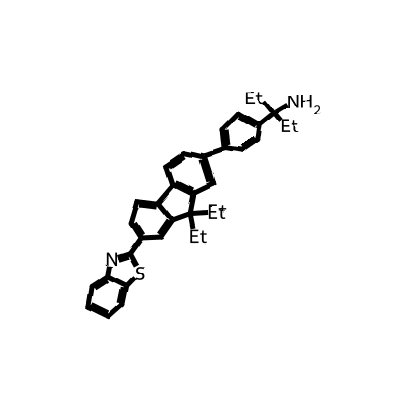 CCC(N)(CC)c1ccc(-c2ccc3c(c2)C(CC)(CC)c2cc(-c4nc5ccccc5s4)ccc2-3)cc1